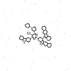 CCc1c(-c2cccc(-c3ccccc3)c2)nc(-c2cc(-n3c4ccccc4c4cc5ccccc5cc43)c3c(c2)oc2cc4ccccc4cc23)nc1-c1ccc2sc3ccccc3c2c1